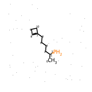 CC(P)CCCCC1=CCC1